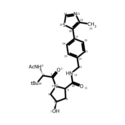 CC(=O)N[C@H](C(=O)N1C[C@H](O)CC1C(=O)NCc1ccc(-c2scnc2C)cc1)C(C)(C)C